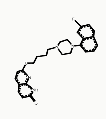 O=c1ccc2ccc(OCCCCN3CCN(c4cccc5ccc(F)cc45)CC3)nc2[nH]1